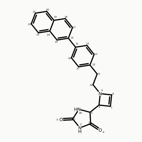 O=C1NC(=O)C(C2C=CN2CCc2ccc(-c3ccc4ccccc4c3)cc2)N1